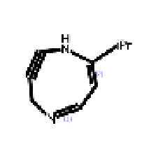 CC(C)/C1=C/C=N\CC#CN1